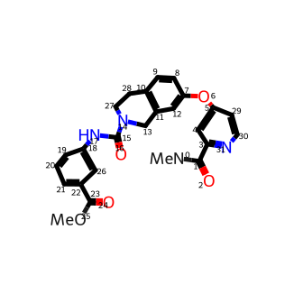 CNC(=O)c1cc(Oc2ccc3c(c2)CN(C(=O)Nc2cccc(C(=O)OC)c2)CC3)ccn1